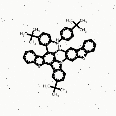 CC(C)(C)c1ccc(Nc2ccc(C(C)(C)C)cc2-c2c3c4c(c5cc(C(C)(C)C)ccc5n4-c4cc5sc6ccccc6c5cc4B3)c3sc4ccccc4c23)cc1